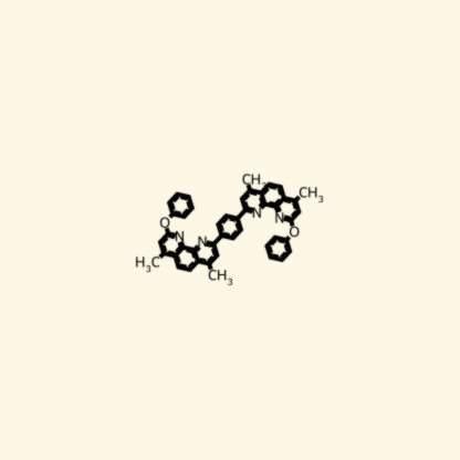 Cc1cc(Oc2ccccc2)nc2c1ccc1c(C)cc(-c3ccc(-c4cc(C)c5ccc6c(C)cc(Oc7ccccc7)nc6c5n4)cc3)nc12